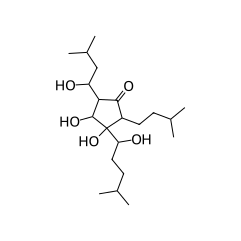 CC(C)CCC(O)C1(O)C(CCC(C)C)C(=O)C(C(O)CC(C)C)C1O